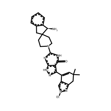 CCn1cc2c(n1)CC(C)(C)C=C2c1n[nH]c2nc(N3CCC4(CC3)Cc3ccccc3[C@H]4N)[nH]c(=O)c12